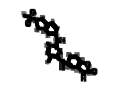 Cc1cnc(Nc2ccc3c(c2)CN(S(C)(=O)=O)C3)nc1Nc1ccc2oc(=O)[nH]c2c1